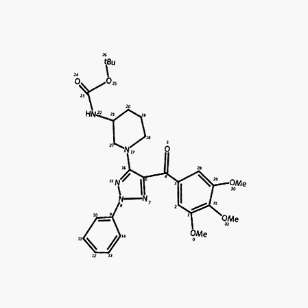 COc1cc(C(=O)c2nn(-c3ccccc3)nc2N2CCCC(NC(=O)OC(C)(C)C)C2)cc(OC)c1OC